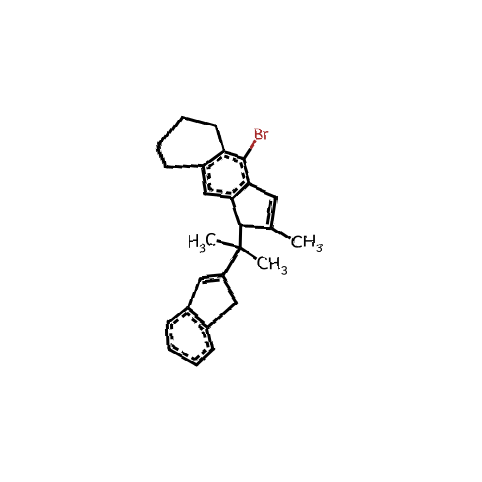 CC1=Cc2c(cc3c(c2Br)CCCC3)C1C(C)(C)C1=Cc2ccccc2C1